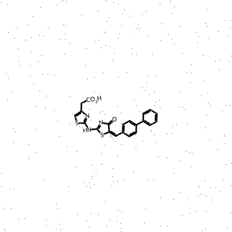 O=C(O)Cc1csc(NC2=NC(=O)/C(=C\c3ccc(-c4ccccc4)cc3)S2)n1